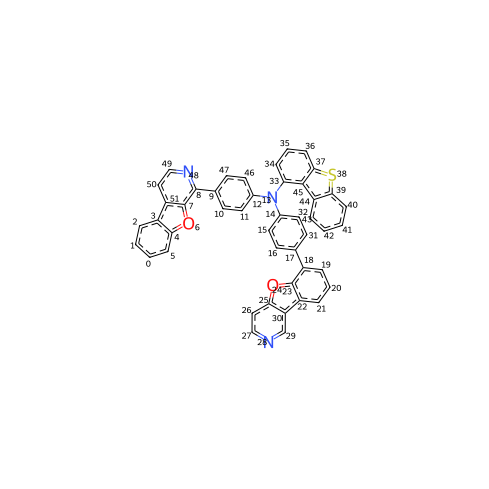 c1ccc2c(c1)oc1c(-c3ccc(N(c4ccc(-c5cccc6c5oc5ccncc56)cc4)c4cccc5sc6ccccc6c45)cc3)nccc12